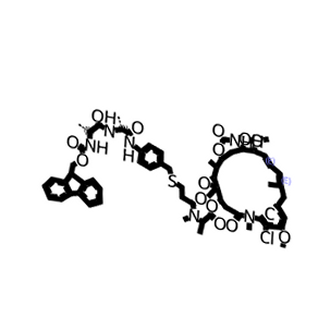 COc1cc2cc(c1Cl)N(C)C(=O)CC(OC(=O)C(C)N(C)C(=O)CCSCc1ccc(NC(=O)[C@@H](C)NC(=O)[C@@H](C)NC(=O)OCC3c4ccccc4-c4ccccc43)cc1)C1(C)OC1C(C)C1CC(O)(NC(=O)O1)C(OC)/C=C/C=C(\C)C2